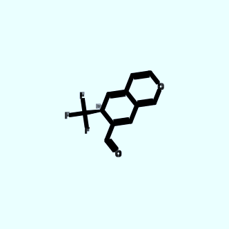 O=CC1=CC2=COC=CC2=C[C@@H]1C(F)(F)F